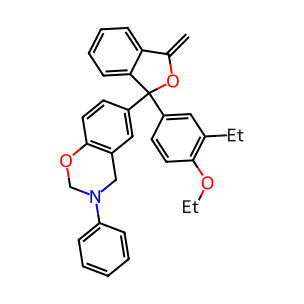 C=C1OC(c2ccc(OCC)c(CC)c2)(c2ccc3c(c2)CN(c2ccccc2)CO3)c2ccccc21